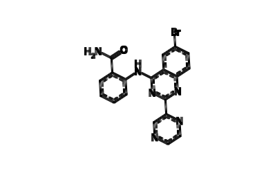 NC(=O)c1ccccc1Nc1nc(-c2cnccn2)nc2ccc(Br)cc12